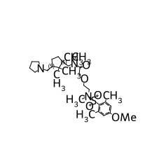 COc1cc(C)c(S(=O)(=O)N(C)CCOCC(=O)N(C)C[C@@]2(C)CC[C@H](CN3CCCC3)C2(C)C)c(C)c1